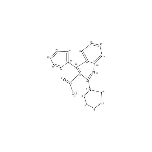 O=C(O)c1c(N2CCCCC2)nc2ccccc2c1-c1ccccc1